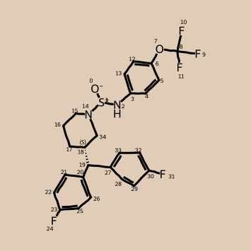 [O-][S+](Nc1ccc(OC(F)(F)F)cc1)N1CCC[C@@H](C(c2ccc(F)cc2)c2ccc(F)cc2)C1